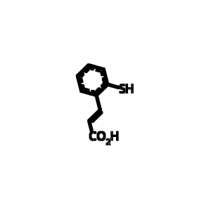 O=C(O)C=Cc1ccccc1S